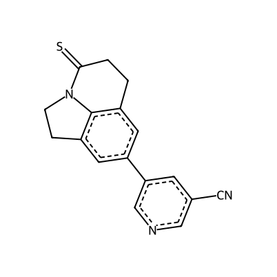 N#Cc1cncc(-c2cc3c4c(c2)CCN4C(=S)CC3)c1